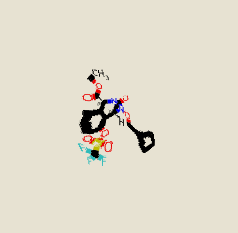 CCOC(=O)[C@H]1c2cccc(OS(=O)(=O)C(F)(F)F)c2[C@H]2CN1C(=O)N2OCc1ccccc1